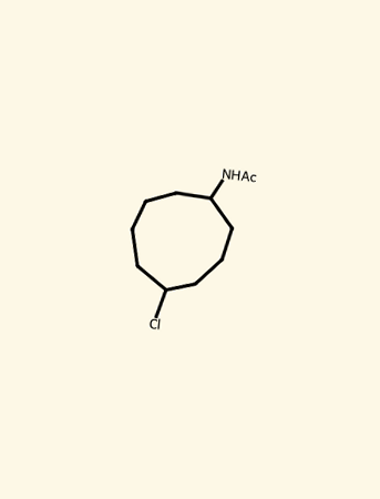 CC(=O)NC1CCCCC(Cl)CCC1